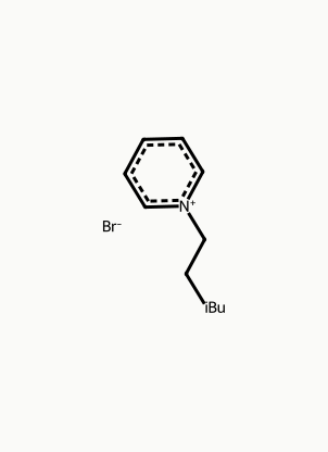 CCC(C)CC[n+]1ccccc1.[Br-]